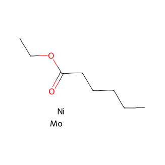 CCCCCC(=O)OCC.[Mo].[Ni]